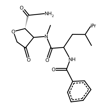 CC(C)C(C)CC(NC(=O)c1ccccc1)C(=O)N(C)C1C(=O)CO[C@@H]1C(N)=O